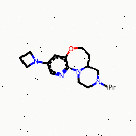 CC(C)N1CCN2c3ncc(N4CCC4)cc3OCCC2C1